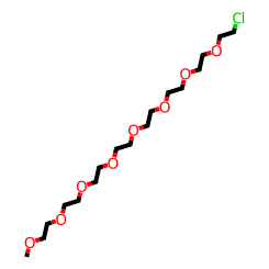 COCCOCCOCCOCCOCCOCCOCCOCCCl